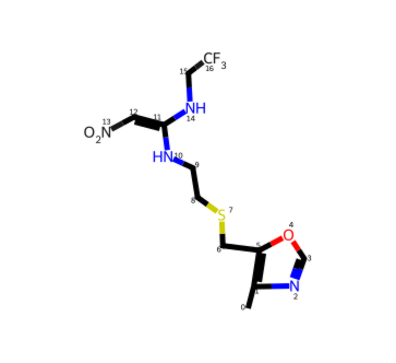 Cc1ncoc1CSCCN/C(=C\[N+](=O)[O-])NCC(F)(F)F